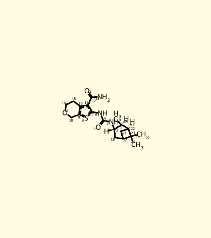 C[C@@H]1[C@@H](NC(=O)Nc2sc3c(c2C(N)=O)CCOC3)CC2C[C@@H]1C2(C)C